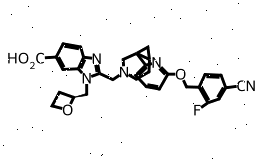 N#Cc1ccc(COc2cccc(C34CC3CCN(Cc3nc5ccc(C(=O)O)cc5n3C[C@@H]3CCO3)C4)n2)c(F)c1